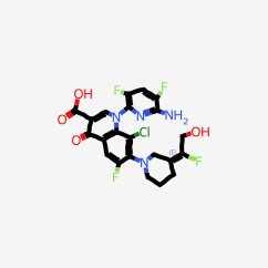 Nc1nc(-n2cc(C(=O)O)c(=O)c3cc(F)c(N4CCC/C(=C(\F)CO)C4)c(Cl)c32)c(F)cc1F